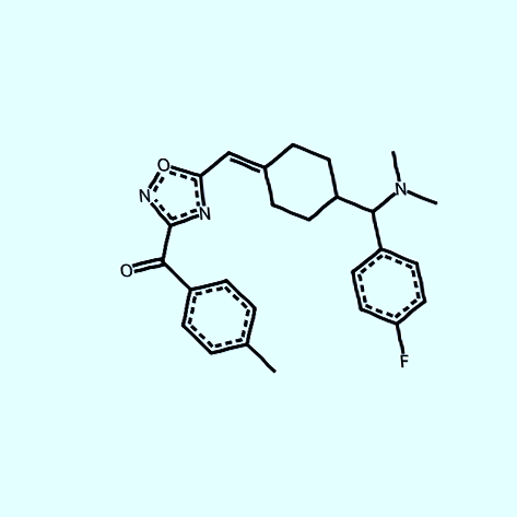 Cc1ccc(C(=O)c2noc(C=C3CCC(C(c4ccc(F)cc4)N(C)C)CC3)n2)cc1